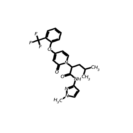 CC(C)CC(C(=O)Nc1ccn(C)n1)n1ccc(Oc2ccccc2C(F)(F)F)cc1=O